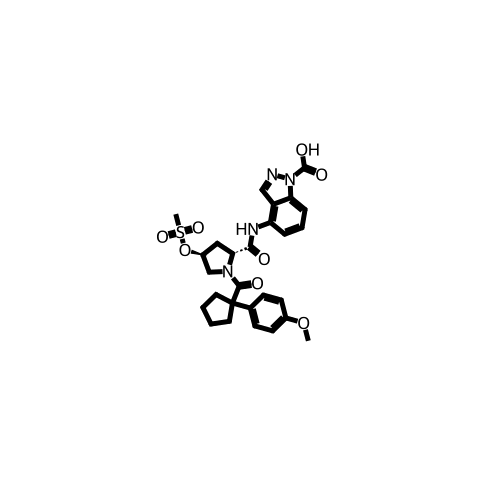 COc1ccc(C2(C(=O)N3C[C@@H](OS(C)(=O)=O)C[C@@H]3C(=O)Nc3cccc4c3cnn4C(=O)O)CCCC2)cc1